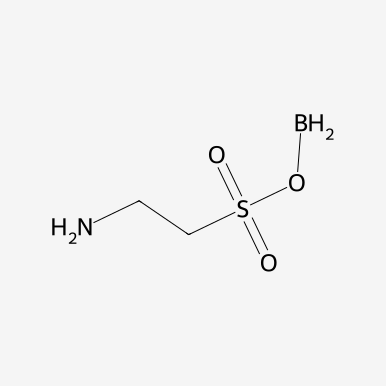 BOS(=O)(=O)CCN